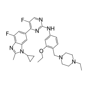 CCOc1cc(Nc2ncc(F)c(-c3cc(F)c4nc(C)n(C5CC5)c4c3)n2)ccc1CN1CCN(CC)CC1